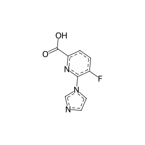 O=C(O)c1ccc(F)c(-n2ccnc2)n1